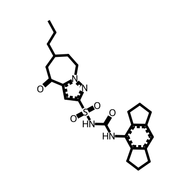 CCCC1CCn2nc(S(=O)(=O)NC(=O)Nc3c4c(cc5c3CCC5)CCC4)cc2C(=O)C1